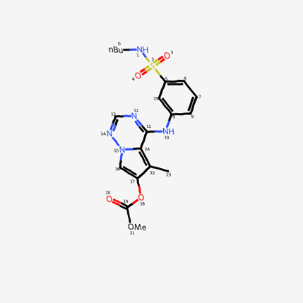 CCCCNS(=O)(=O)c1cccc(Nc2ncnn3cc(OC(=O)OC)c(C)c23)c1